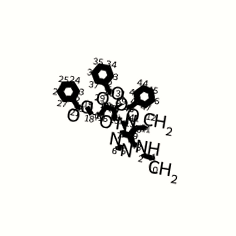 C=CCNc1ncnc2c1c(C=C)nn2[C@@H]1O[C@H](COC(=O)c2ccccc2)[C@@H](OC(=O)c2ccccc2)[C@H]1OC(=O)c1ccccc1